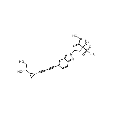 CC(CCn1cc2cc(C#CC#C[C@@H]3C[C@H]3[C@H](O)CO)ccc2n1)(C(=O)NO)S(C)(=O)=O